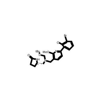 COc1nc(-c2cccc(Br)c2Cl)ccc1CN(COC(C)(C)C)C[C@@H]1CCC(=O)N1